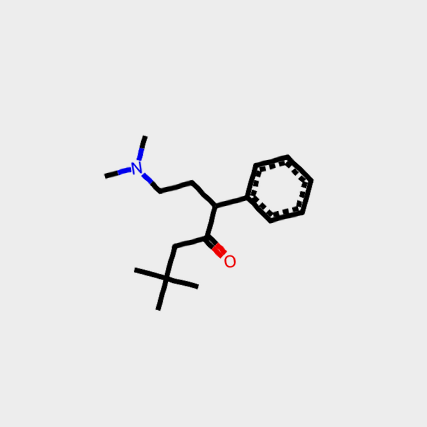 CN(C)CCC(C(=O)CC(C)(C)C)c1ccccc1